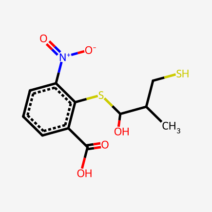 CC(CS)C(O)Sc1c(C(=O)O)cccc1[N+](=O)[O-]